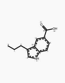 CCCc1c[nH]c2ccc(C(=O)O)cc12